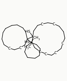 CC1(S)CCCCCCCCCCCCCCCC1(S)C1(C2(C)CCCCCCC2)CCCCCCCCCCCC1